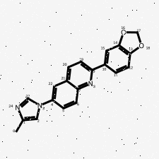 Cc1cn(-c2ccc3nc(-c4ccc5c(c4)OCO5)ccc3c2)cn1